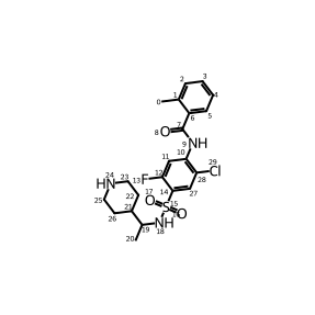 Cc1ccccc1C(=O)Nc1cc(F)c(S(=O)(=O)NC(C)C2CCNCC2)cc1Cl